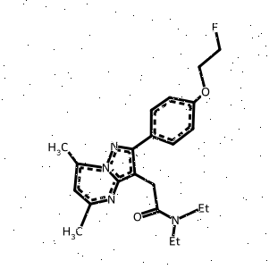 CCN(CC)C(=O)Cc1c(-c2ccc(OCCF)cc2)nn2c(C)cc(C)nc12